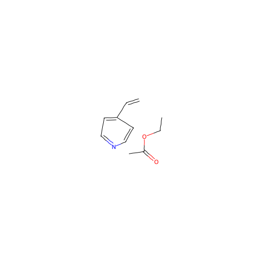 C=Cc1ccncc1.CCOC(C)=O